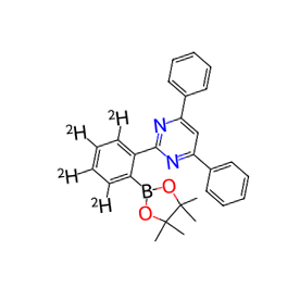 [2H]c1c([2H])c([2H])c(-c2nc(-c3ccccc3)cc(-c3ccccc3)n2)c(B2OC(C)(C)C(C)(C)O2)c1[2H]